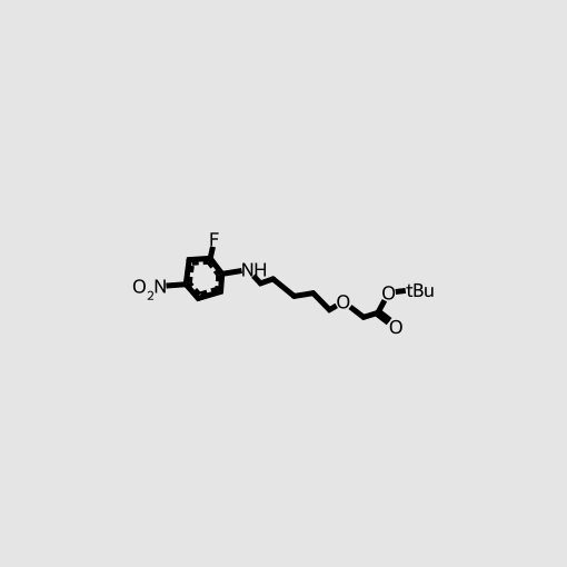 CC(C)(C)OC(=O)COCCCCCNc1ccc([N+](=O)[O-])cc1F